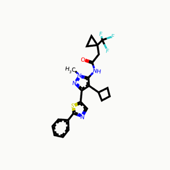 Cn1nc(-c2cnc(-c3ccccc3)s2)c(C2CCC2)c1NC(=O)CC1(C(F)(F)F)CC1